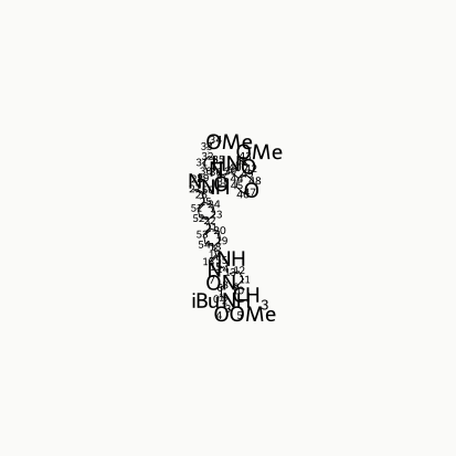 CC[C@H](C)[C@H](NC(=O)OC)C(=O)N1[C@@H](C)CC[C@H]1c1ncc(-c2ccc(-c3ccc(-c4cnc([C@@H]5C[C@H](COC)CN5C(=O)[C@@H](NC(=O)OC)C5CCOCC5)[nH]4)cc3)cc2)[nH]1